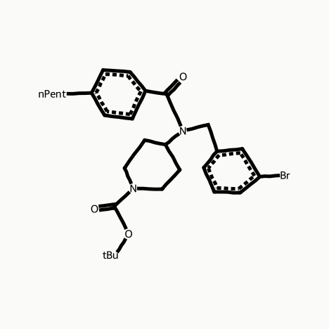 CCCCCc1ccc(C(=O)N(Cc2cccc(Br)c2)C2CCN(C(=O)OC(C)(C)C)CC2)cc1